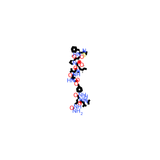 CC[C@H](C)[C@@H]([C@@H](CC(=O)N1CCC[C@H]1[C@H](OC)[C@@H](C)C(=O)N[C@@H](Cc1ccccc1)c1nccs1)OC)N(C)C(=O)[C@@H](NC(=O)C(C)(C)NC(=O)OCc1ccc(NC(=O)[C@H](CCCNC(N)=O)NC(=O)[C@@H](NC(C)C)C(C)C)cc1)C(C)C